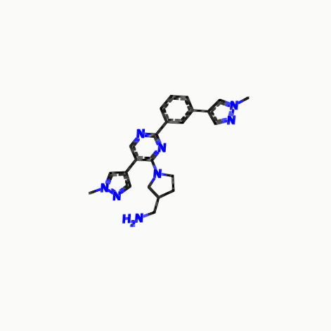 Cn1cc(-c2cccc(-c3ncc(-c4cnn(C)c4)c(N4CCC(CN)C4)n3)c2)cn1